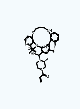 C=CC(=O)N1CCN(C2NC(=O)N3c4nc(c(F)cc42)-c2c(F)cccc2NCCCSc2ccnc(C(C)C)c23)[C@@H](C)C1